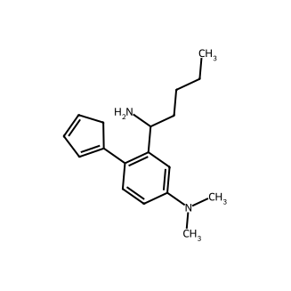 CCCCC(N)c1cc(N(C)C)ccc1C1=CC=CC1